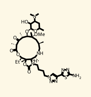 CC[C@H]1OC(=O)[C@H](C)C(=O)[C@H](C)[C@@H](O[C@@H]2OC(C)CC(N(C)C)C2O)[C@](C)(OC)C[C@@H](C)CN[C@H](C)[C@H]2N(CCCCn3cc(-c4nnc(N)s4)nn3)C(=O)O[C@]12C